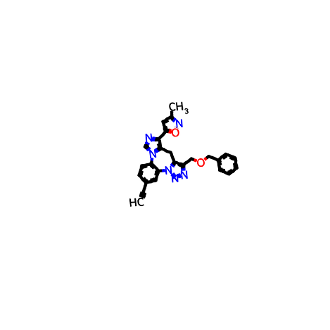 C#Cc1ccc2c(c1)-n1nnc(COCc3ccccc3)c1Cc1c(-c3cc(C)no3)ncn1-2